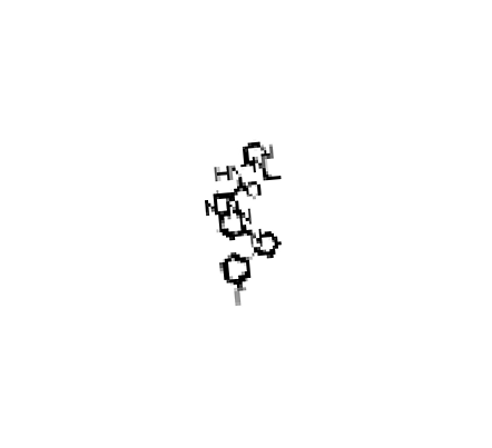 CCn1nccc1NC(=O)c1cnc2ccc(N3CCC[C@@H]3c3cccc(F)c3)nn12